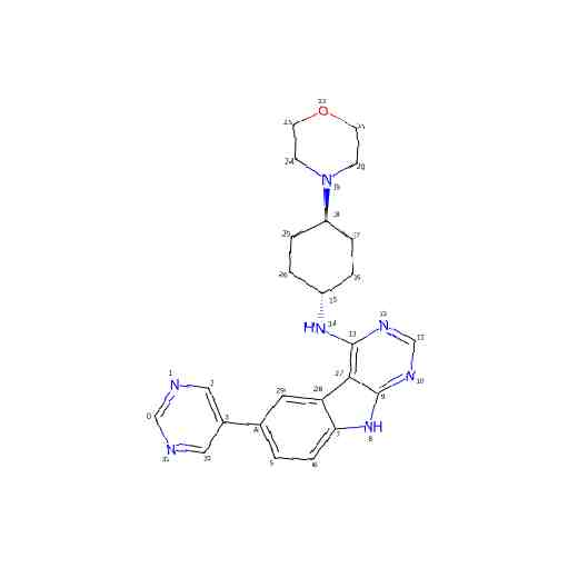 c1ncc(-c2ccc3[nH]c4ncnc(N[C@H]5CC[C@H](N6CCOCC6)CC5)c4c3c2)cn1